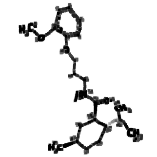 COc1ccccc1OCCCNC(=O)[C@@H]1C[C@H](C)CC[C@H]1C(C)C